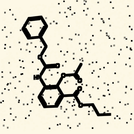 CCCOC(=O)c1cccc(NC(=O)OCc2ccccc2)c1OC(C)=O